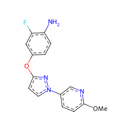 COc1ccc(-n2ccc(Oc3ccc(N)c(F)c3)n2)cn1